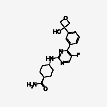 NC(=O)[C@H]1CC[C@H](Nc2ncc(F)c(-c3cccc(C4(O)COC4)c3)n2)CC1